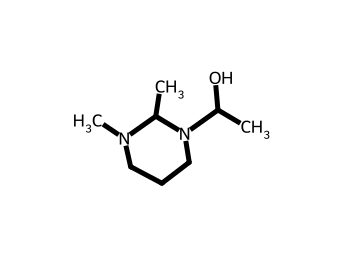 CC(O)N1CCCN(C)C1C